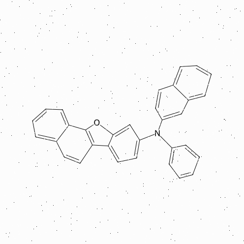 c1ccc(N(c2ccc3ccccc3c2)c2ccc3c(c2)oc2c4ccccc4ccc32)cc1